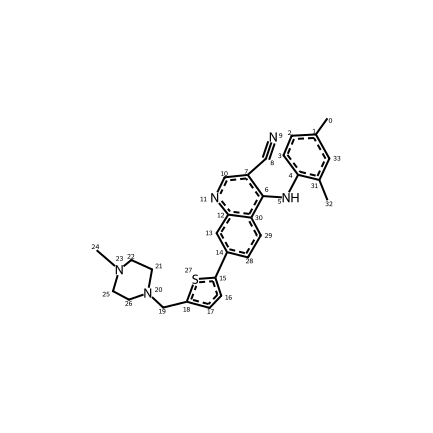 Cc1ccc(Nc2c(C#N)cnc3cc(-c4ccc(CN5CCN(C)CC5)s4)ccc23)c(C)c1